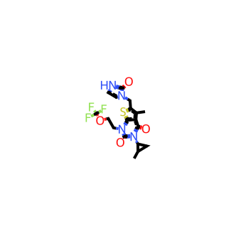 Cc1c(Cn2cc[nH]c2=O)sc2c1c(=O)n(C1CC1C)c(=O)n2CCOC(F)(F)F